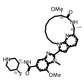 COc1cc(C(=O)N[C@H]2CNCC[C@@H]2F)cc2nc(-c3cc4ccc5nc4n3CCCCCC[C@H](OC)C(=O)N[C@@H]5C)n(C)c12